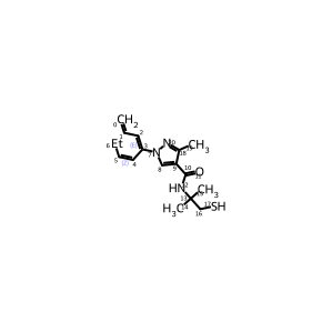 C=C/C=C(\C=C/CC)n1cc(C(=O)NC(C)(C)CS)c(C)n1